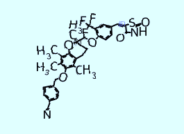 Cc1c(C)c2c(c(C)c1OCc1ccc(C#N)cc1)CC[C@](C)(COc1ccc(/C=C3/SC(=O)NC3=O)cc1C(F)(F)F)O2